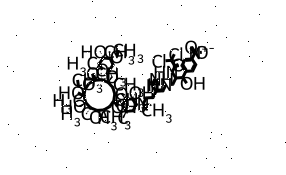 CC[C@H]1OC(=O)[C@H](C)[C@@H](O[C@H]2C[C@@](C)(OC)[C@@H](O)[C@H](C)O2)[C@H](C)[C@@H](O[C@@H]2O[C@H](C)C[C@H](N(C)CC/C(=C/NCC(NC(=O)C(Cl)Cl)C(O)c3ccc([N+](=O)[O-])cc3)N=N)[C@H]2O)[C@](C)(O)C[C@@H](C)C(=O)[C@H](C)[C@@H](O)[C@]1(C)O